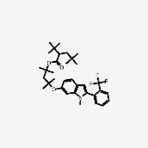 Cn1c(-c2ccccc2C(F)(F)F)cc2ccc(OC(C)(C)CC(C)(C)OC(=O)C(CC(C)(C)C)C(C)(C)C)cc21